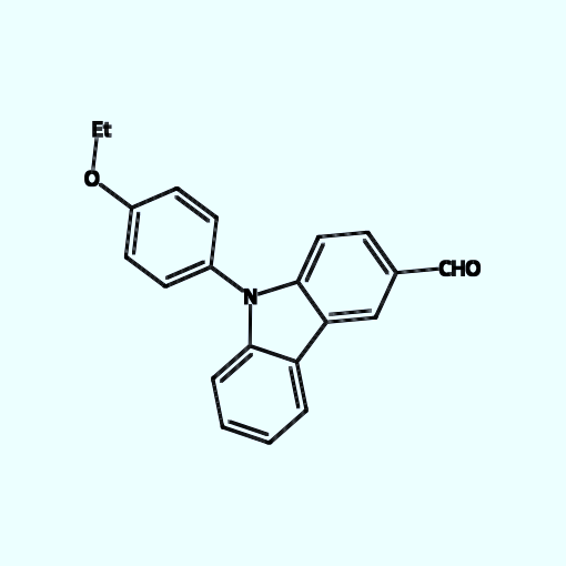 CCOc1ccc(-n2c3ccccc3c3cc(C=O)ccc32)cc1